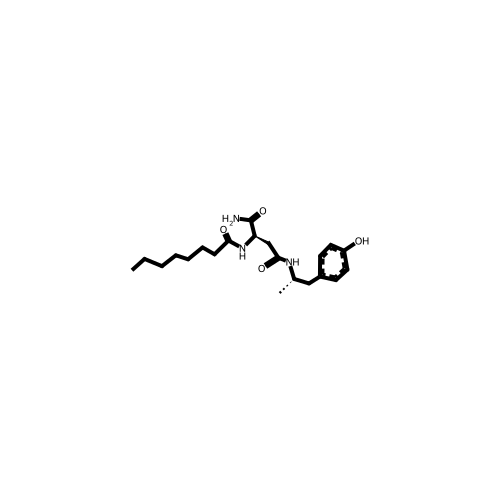 CCCCCCCC(=O)N[C@H](CC(=O)N[C@@H](C)Cc1ccc(O)cc1)C(N)=O